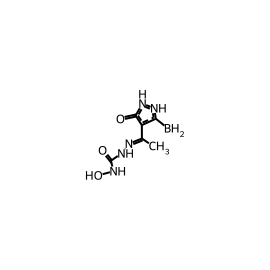 Bc1[nH][nH]c(=O)c1/C(C)=N/NC(=O)NO